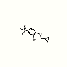 CCS(=O)(=O)c1ccc(OCC2CC2)c(Br)c1